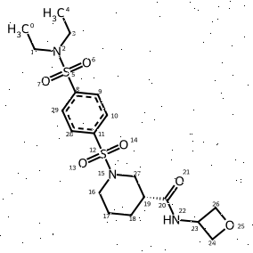 CCN(CC)S(=O)(=O)c1ccc(S(=O)(=O)N2CCC[C@@H](C(=O)NC3COC3)C2)cc1